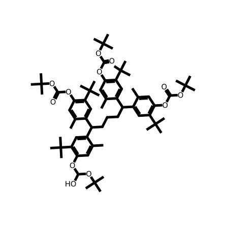 Cc1cc(OC(=O)OC(C)(C)C)c(C(C)(C)C)cc1C(CCCC(c1cc(C(C)(C)C)c(OC(=O)OC(C)(C)C)cc1C)c1cc(C(C)(C)C)c(OC(O)OC(C)(C)C)cc1C)c1cc(C(C)(C)C)c(OC(=O)OC(C)(C)C)cc1C